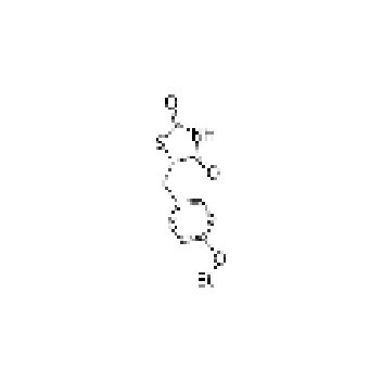 CCOc1ccc(CC2SC(=O)NC2=O)cc1